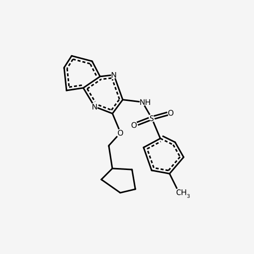 Cc1ccc(S(=O)(=O)Nc2nc3ccccc3nc2OCC2CCCC2)cc1